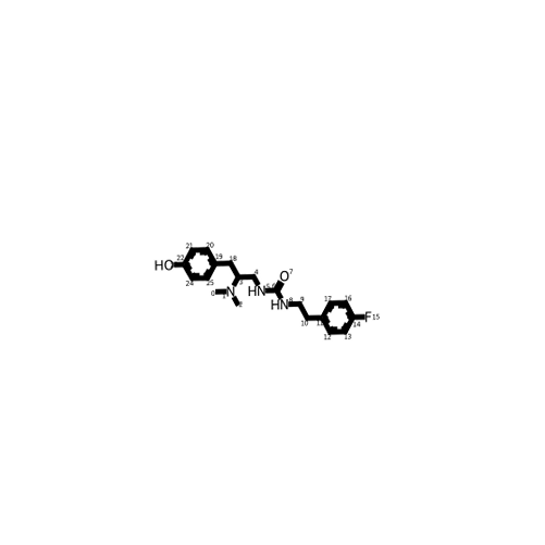 CN(C)C(CNC(=O)NCCc1ccc(F)cc1)Cc1ccc(O)cc1